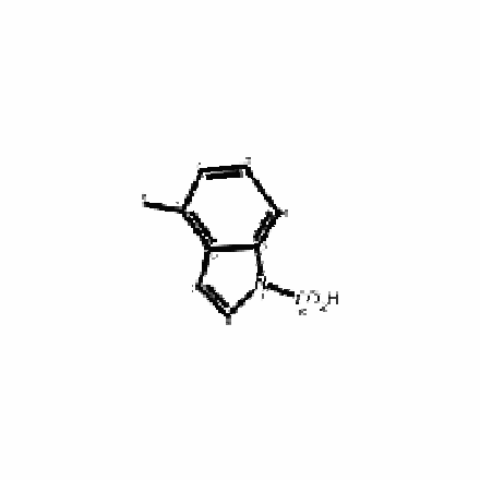 Cc1cccc2c1ccn2C(=O)O